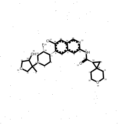 CC1(N2CC[C@@H](c3cc4cc(NC(=O)[C@H]5CC56CCOCC6)ncc4cc3Cl)[C@@H](F)C2)COCC1O